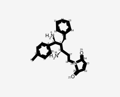 [CH2]c1ccc([C@@H](N)[C@@H](Cc2ccccc2)[C@@H](N)CCN2C(=O)C=CC2=O)cc1